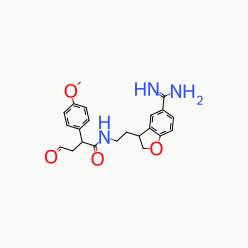 COc1ccc(C(CC=O)C(=O)NCCC2COc3ccc(C(=N)N)cc32)cc1